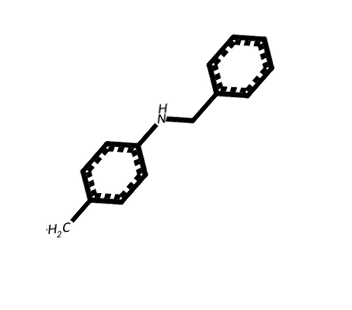 [CH2]c1ccc(NCc2ccccc2)cc1